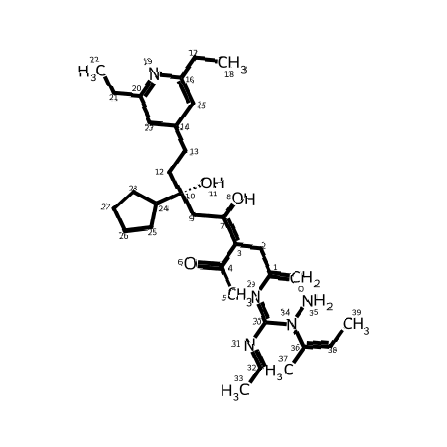 C=C(C/C(C(C)=O)=C(\O)C[C@](O)(CCC1C=C(CC)N=C(CC)C1)C1CCCC1)/N=C(/N=C/C)N(N)/C(C)=C\C